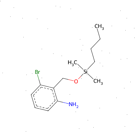 CCCC[Si](C)(C)OCc1c(N)cccc1Br